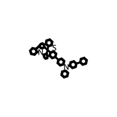 c1ccc(-c2ccc(N(c3ccccc3)c3ccc(-c4ccc5c(c4)Sc4ccccc4C54c5ccccc5-n5c6ccccc6c6cccc4c65)cc3)cc2)cc1